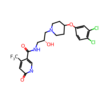 O=C1C=C(C(F)(F)F)C(C(=O)NC[C@@H](O)CN2CCC(Oc3ccc(Cl)c(Cl)c3)CC2)=C[N]1